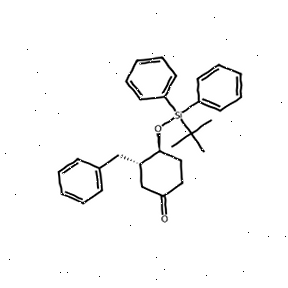 CC(C)(C)[Si](O[C@H]1CCC(=O)C[C@@H]1Cc1ccccc1)(c1ccccc1)c1ccccc1